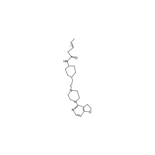 C/C=C/CC(=O)NC1CCC(CCN2CCN(c3nccc4c3CCO4)CC2)CC1